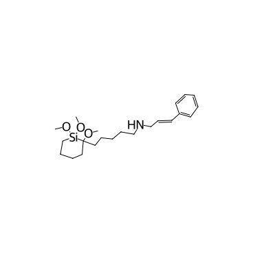 COC1(CCCCCNCC=Cc2ccccc2)CCCC[Si]1(OC)OC